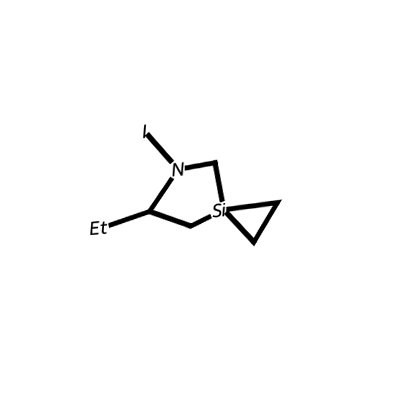 CCC1C[Si]2(CC2)CN1I